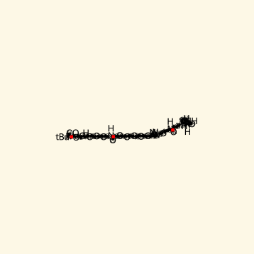 CC(C)(C)N(CCOCCOCCOCCOCCOCCNC(=O)CCOCCOCCOCCOCCOCc1cn(CCOCCNC(=O)CCCC[C@@H]2SC[C@@H]3NC(=O)N[C@@H]32)nn1)C(=O)O